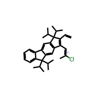 C=CC1=C(/C=C(\C)Cl)c2cc3c(cc2C1(C(C)C)C(C)C)-c1ccccc1C3(C(C)C)C(C)C